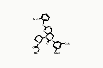 COc1cc(OC)cc(N2Cc3cnc(Nc4ccccc4NC(C)=O)nc3N(C3CCCN(C(=O)OC(C)(C)C)C3)C2=O)c1